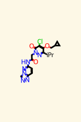 CC(C)c1nn(CC(=O)Nc2ccc3nncn3n2)c(=O)c(Cl)c1OCC1CC1